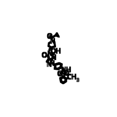 Cc1ccccc1S(=O)(=O)Nc1ccc(-n2ncc3c(=O)n(CC4(O)CCN(C(=O)C5CC5)CC4)cnc32)cc1